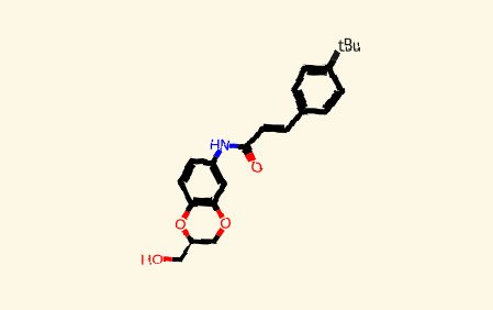 CC(C)(C)c1ccc(/C=C/C(=O)Nc2ccc3c(c2)OC[C@@H](CO)O3)cc1